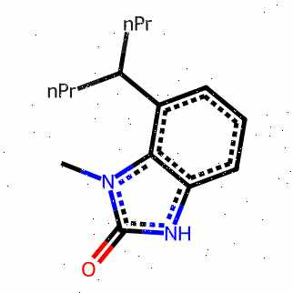 CCCC(CCC)c1cccc2[nH]c(=O)n(C)c12